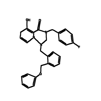 O=C1C2=C(O)CC=CN2N(Cc2ccccc2COc2ccccc2)CN1Cc1ccc(F)cc1